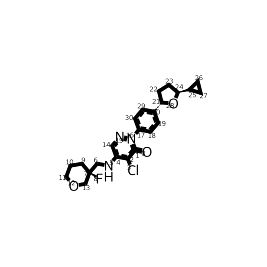 O=c1c(Cl)c(NC[C@@]2(F)CCCOC2)cnn1-c1ccc([C@@H]2CC[C@@H](C3CC3)O2)cc1